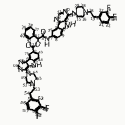 O=C(OC(C(=O)Nc1ccc2[nH]c3c(N4CCN(CCc5ccc(F)c(F)c5)CC4)ncnc3c2c1)c1ccccc1)c1ccc2[nH]c3c(N4CCN(CCc5ccc(F)c(F)c5)CC4)ncnc3c2c1